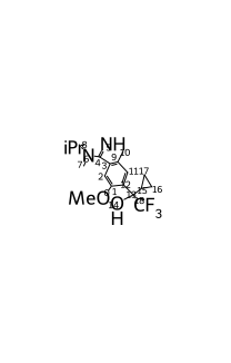 COc1cc(C(=N)N(C)C(C)C)c(C)cc1C(O)(C1CC1)C(F)(F)F